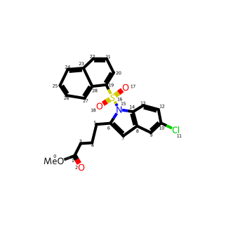 COC(=O)CCCc1cc2cc(Cl)ccc2n1S(=O)(=O)c1cccc2ccccc12